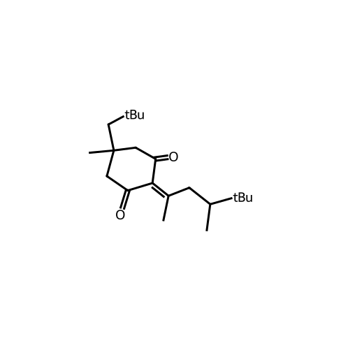 CC(CC(C)C(C)(C)C)=C1C(=O)CC(C)(CC(C)(C)C)CC1=O